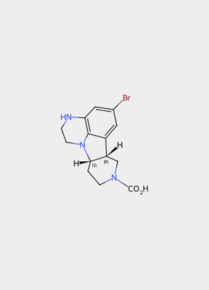 O=C(O)N1CC[C@H]2[C@@H](C1)c1cc(Br)cc3c1N2CCN3